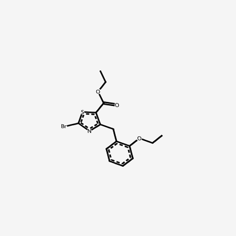 CCOC(=O)c1sc(Br)nc1Cc1ccccc1OCC